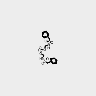 O=[PH](OCNS(=O)(=O)Cc1ccccc1)OCNS(=O)(=O)Cc1ccccc1